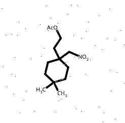 CC(=O)OCCC1(C[N+](=O)[O-])CCC(C)(C)CC1